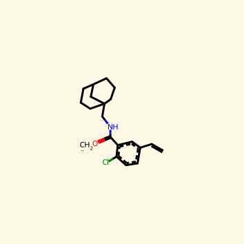 C=Cc1ccc(Cl)c(C(=O)NCC23CCCC(CCC2)C3)c1.[CH2]